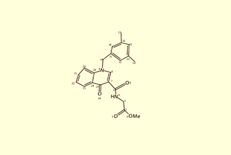 COC(=O)CNC(=O)c1cn(Cc2cc(C)cc(C)c2)c2ccccc2c1=O